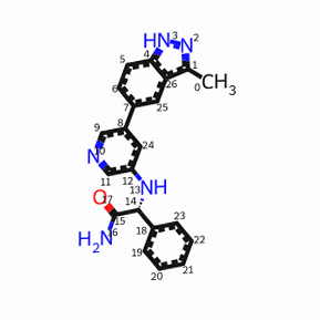 Cc1n[nH]c2ccc(-c3cncc(N[C@@H](C(N)=O)c4ccccc4)c3)cc12